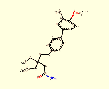 CCCCCCOc1ccc(-c2ccc(CCC(COC(C)=O)(COC(C)=O)CC(N)=O)cc2)cc1OC